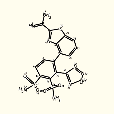 N=C(N)c1nc2c(-c3ccc(S(N)(=O)=O)c(S(N)(=O)=O)c3-c3nn[nH]n3)cccc2s1